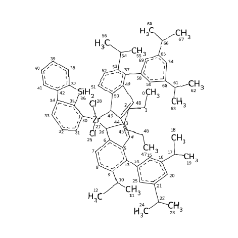 CCCC1=Cc2c(ccc(C(C)C)c2-c2cc(C(C)C)cc(C(C)C)c2)[CH]1[Zr]([Cl])([Cl])([c]1cccc2c1[SiH2]c1ccccc1-2)[CH]1C(CCC)=Cc2c1ccc(C(C)C)c2-c1cc(C(C)C)cc(C(C)C)c1